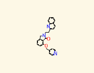 O=C1c2c(cccc2OCc2ccncc2)CN1CCc1ccc2ccccc2n1